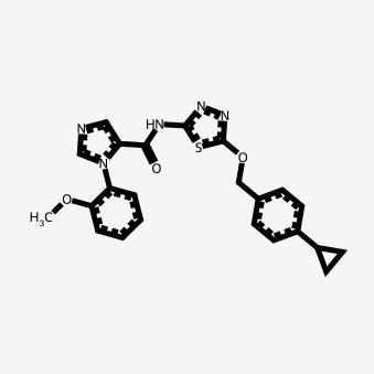 COc1ccccc1-n1cncc1C(=O)Nc1nnc(OCc2ccc(C3CC3)cc2)s1